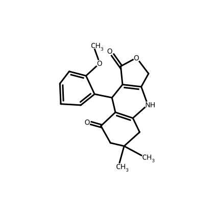 COc1ccccc1C1C2=C(CC(C)(C)CC2=O)NC2=C1C(=O)OC2